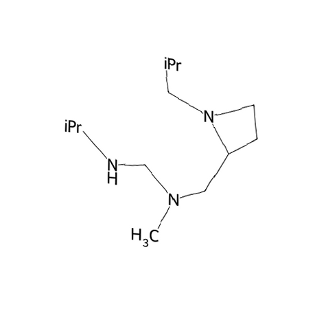 CC(C)CN1CCC1CN(C)CNC(C)C